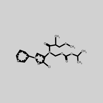 CSCC(C)C(=O)N(COC(=O)OC(C)C)c1cn(-c2cccnc2)nc1Cl